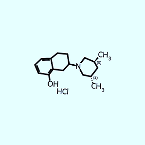 C[C@H]1C[C@H](C)CN(C2CCc3cccc(O)c3C2)C1.Cl